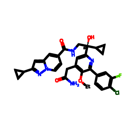 CCOc1c(CC(N)=O)cc([C@@](O)(CNC(=O)c2ccn3nc(C4CC4)cc3c2)C2CC2)nc1-c1ccc(Cl)c(F)c1